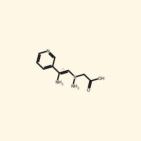 N/C(=C\N(N)CC(=O)O)c1cccnc1